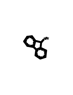 CCC[C]1c2ccccc2-c2ccccc21